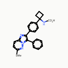 CSc1ccc2nc(-c3ccc(C4(NC(=O)O)CCC4)cc3)c(-c3ccccc3)n2n1